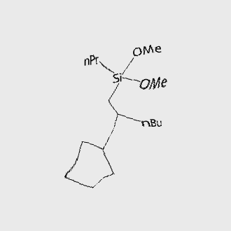 CCCCC(C[Si](CCC)(OC)OC)C1CCCC1